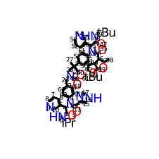 CC(C)NC(=O)C(c1cccnc1)N(C(=O)c1c[nH]cn1)c1ccc(CN(CC(C)(C)c2ccc(N(C(=O)C3C(C)OC4OCCC43)C(C(=O)NC(C)(C)C)c3cccnc3)cc2)C(=O)OC(C)(C)C)cc1